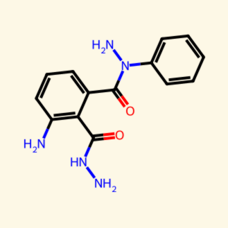 NNC(=O)c1c(N)cccc1C(=O)N(N)c1ccccc1